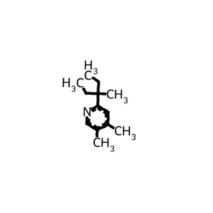 CCC(C)(CC)c1cc(C)c(C)cn1